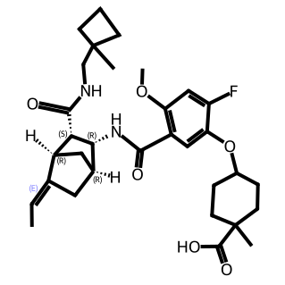 C/C=C1\C[C@H]2C[C@@H]1[C@H](C(=O)NCC1(C)CCC1)[C@@H]2NC(=O)c1cc(OC2CCC(C)(C(=O)O)CC2)c(F)cc1OC